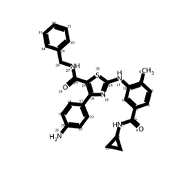 Cc1ccc(C(=O)NC2CC2)cc1Nc1nc(-c2ccc(N)cc2)c(C(=O)NCc2ccccc2)s1